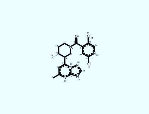 Cc1cc(C2CN(C(=O)c3cc(Cl)ncc3C(F)(F)F)CC[C@H]2C)n2ncnc2n1